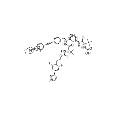 Cn1ccc(-c2cc(F)c(CCOC(=O)N[C@H](C(=O)N[C@@H](Cc3ccc(C#Cc4ccc(N5CC6CCC(C5)N6C5COC5)nc4)cc3)[C@@H](O)CNNC(=O)[C@@H](NC(=O)O)C(C)(C)C)C(C)(C)C)c(F)c2)n1